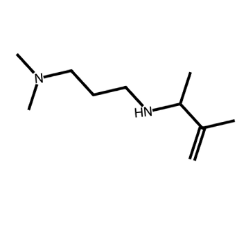 C=C(C)C(C)NCCCN(C)C